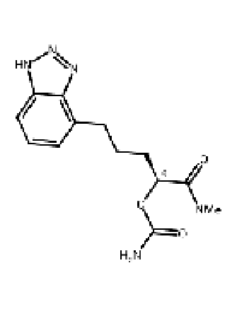 CNC(=O)[C@H](CCCc1cccc2[nH]nnc12)OC(N)=O